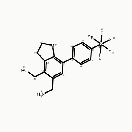 NCc1cc(-c2ccc(S(F)(F)(F)(F)F)cc2)c2c(c1CO)CCO2